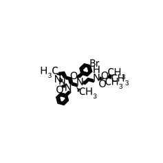 CC[C@H](c1cc2cc(C)nn2c(=O)n1Cc1ccccc1)N(CCCNC(=O)OC(C)(C)C)C(=O)c1ccc(Br)cc1